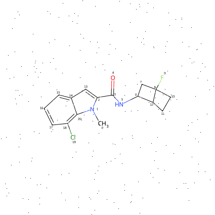 Cn1c(C(=O)NC2CC3(F)CCC23)cc2cccc(Cl)c21